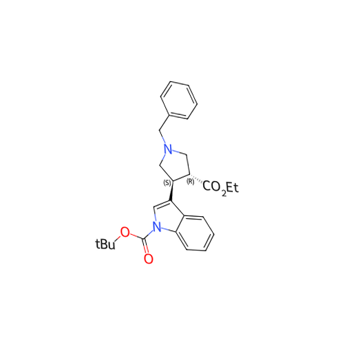 CCOC(=O)[C@H]1CN(Cc2ccccc2)C[C@@H]1c1cn(C(=O)OC(C)(C)C)c2ccccc12